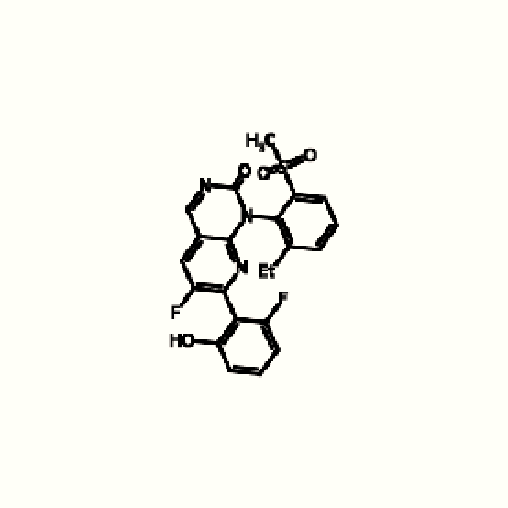 CCc1cccc(S(C)(=O)=O)c1-n1c(=O)ncc2cc(F)c(-c3c(O)cccc3F)nc21